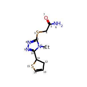 CCn1c(SCC(N)=O)nnc1C1CC=CS1